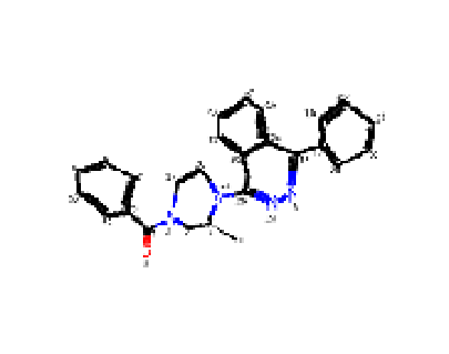 C[C@H]1CN(C(=O)c2ccccc2)CCN1c1nnc(-c2ccccc2)c2ccccc12